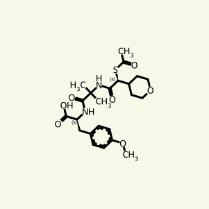 COc1ccc(C[C@H](NC(=O)C(C)(C)NC(=O)[C@@H](SC(C)=O)C2CCOCC2)C(=O)O)cc1